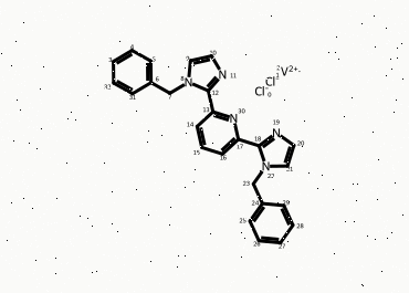 [Cl-].[Cl-].[V+2].c1ccc(Cn2ccnc2-c2cccc(-c3nccn3Cc3ccccc3)n2)cc1